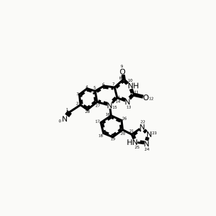 N#Cc1ccc2cc3c(=O)[nH]c(=O)nc-3n(-c3cccc(-c4nnn[nH]4)c3)c2c1